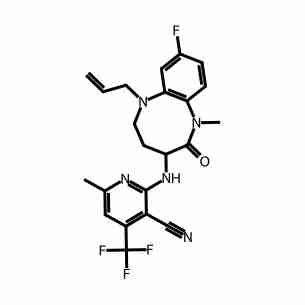 C=CCN1CCC(Nc2nc(C)cc(C(F)(F)F)c2C#N)C(=O)N(C)c2ccc(F)cc21